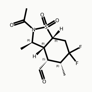 CC(=O)N1[C@H](C)[C@H]2[C@@H](C=O)[C@@H](C)C(F)(F)C[C@H]2S1(=O)=O